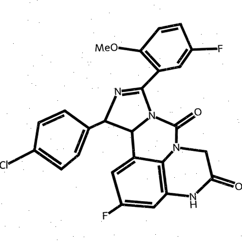 COc1ccc(F)cc1C1=NC(c2ccc(Cl)cc2)C2c3cc(F)cc4c3N(CC(=O)N4)C(=O)N12